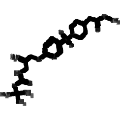 C=C(CNC(=O)OC(C)(C)C)COc1ccc(S(=O)(=O)N2CCC(CC(=O)OC)CC2)cn1